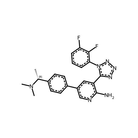 C[C@H](c1ccc(-c2cnc(N)c(-c3nnnn3-c3cccc(F)c3F)c2)cc1)N(C)C